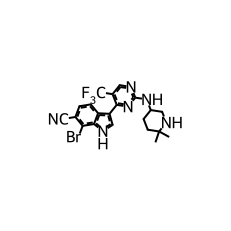 CC1(C)CCC(Nc2ncc(C(F)(F)F)c(-c3c[nH]c4c(Br)c(C#N)ccc34)n2)CN1